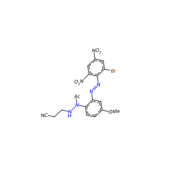 COc1ccc(N(NCCC#N)C(C)=O)c(N=Nc2c(Br)cc([N+](=O)[O-])cc2[N+](=O)[O-])c1